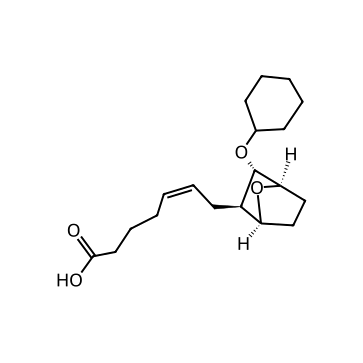 O=C(O)CCC/C=C\C[C@H]1[C@H](OC2CCCCC2)[C@H]2CC[C@@H]1O2